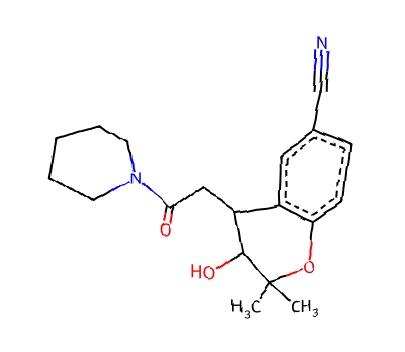 CC1(C)Oc2ccc(C#N)cc2C(CC(=O)N2CCCCC2)C1O